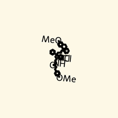 COc1ccc(CCC(=O)NCCCC(CCCN2CCCCC23CCc2cc(OC)ccc2C3)(c2ccccc2)c2ccccc2)cc1.Cl.Cl